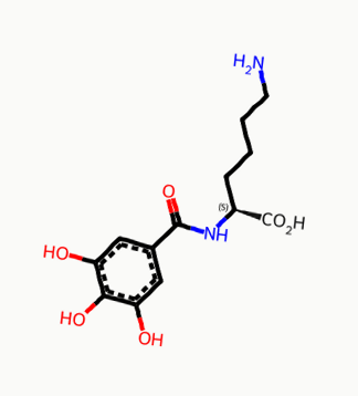 NCCCC[C@H](NC(=O)c1cc(O)c(O)c(O)c1)C(=O)O